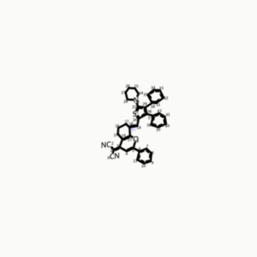 N#CC(C#N)=C1C=C(c2ccccc2)OC2=C1CCC/C2=C\c1sc(N2CCCCC2)c(-c2ccccc2)c1-c1ccccc1